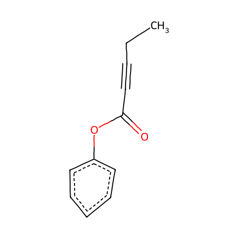 CCC#CC(=O)Oc1ccccc1